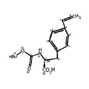 C=Cc1ccc(C[C@H](NC(=O)OCCCC)C(=O)O)cc1